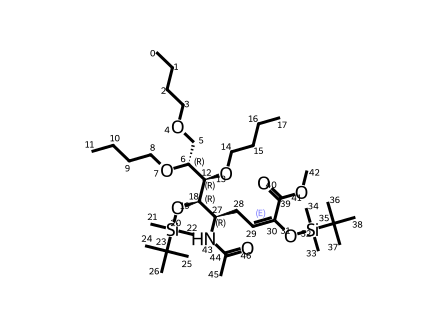 CCCCOC[C@@H](OCCCC)[C@@H](OCCCC)[C@H](O[Si](C)(C)C(C)(C)C)[C@@H](C/C=C(/O[Si](C)(C)C(C)(C)C)C(=O)OC)NC(C)=O